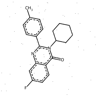 Cc1ccc(-c2nc3cc(F)ccc3c(=O)n2C2CCCCC2)cc1